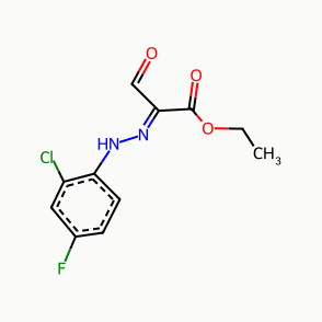 CCOC(=O)/C(C=O)=N/Nc1ccc(F)cc1Cl